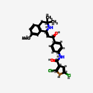 COc1ccc2c(c1)C(=CC(=O)c1ccc(NC(=O)c3cc(Cl)sc3Cl)cc1)NC(C)(C)C2